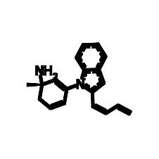 C=C/C=C\c1cc2ccccc2n1C1=C[C@@](C)(N)CC=C1